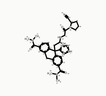 C[C@@H](CC1(c2nn[nH]n2)c2ccc(C(=O)N(C)C)cc2Cc2cc(C(=O)N(C)C)ccc21)NCC(=O)N1CCCC1C#N